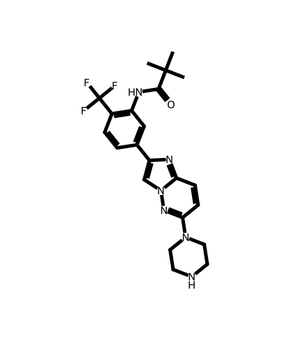 CC(C)(C)C(=O)Nc1cc(-c2cn3nc(N4CCNCC4)ccc3n2)ccc1C(F)(F)F